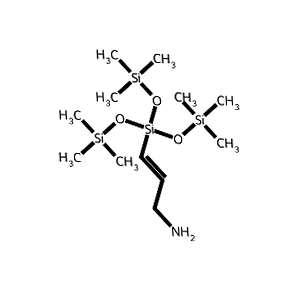 C[Si](C)(C)O[Si](C=CCN)(O[Si](C)(C)C)O[Si](C)(C)C